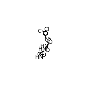 CNS(=O)(=O)CCNC(=O)NCC1CN(Cc2ccc(Cl)c(Cl)c2)CCO1